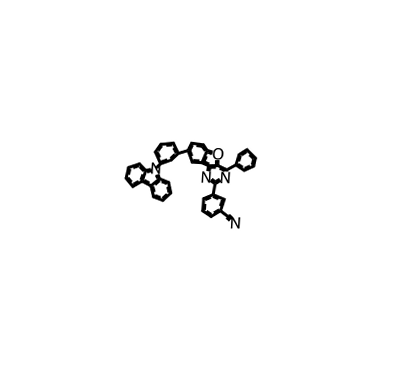 N#Cc1cccc(-c2nc(-c3ccccc3)c3oc4ccc(-c5cccc(-n6c7ccccc7c7ccccc76)c5)cc4c3n2)c1